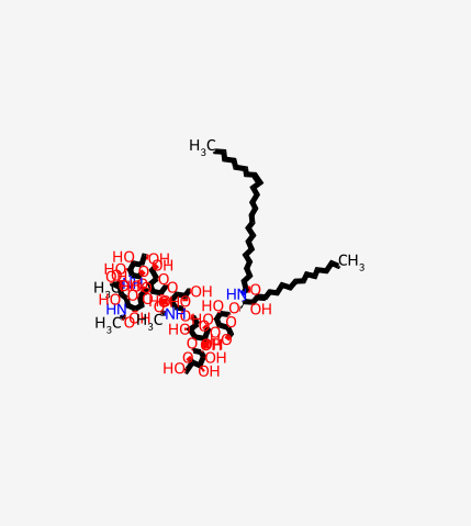 CCCCCCCC/C=C\CCCCCCCCCCCCCCCC(=O)N[C@@H](CO[C@@H]1OC(CO)[C@@H](O[C@@H]2OC(CO[C@@H]3OC(CO)[C@@H](O[C@@H]4OC(CO)[C@H](O[C@@H]5OC(CO)[C@H](O)[C@H](O)C5NC(C)=O)[C@H](O[C@]5(C(=O)O)CC(O)[C@@H](NC(C)=O)C([C@H](O)[C@H](O)CO)O5)C4O)[C@H](O)C3NC(C)=O)[C@H](O)[C@H](O[C@H]3OC(CO)[C@H](O)[C@H](O)C3O)C2O)[C@H](O)C1O)[C@H](O)/C=C/CCCCCCCCCCCCC